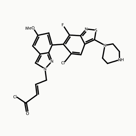 COc1cc(-c2c(Cl)cc3c(N4CCNCC4)snc3c2F)c2nn(C/C=C/C(=O)Cl)cc2c1